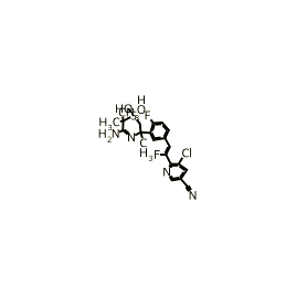 CC1(c2cc(C=C(F)c3ncc(C#N)cc3Cl)ccc2F)CS(O)(O)C(C)(C)C(N)=N1